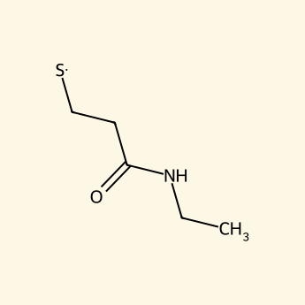 CCNC(=O)CC[S]